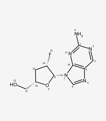 Nc1ncc2ncn([C@@H]3O[C@H](CO)C[C@@H]3F)c2n1